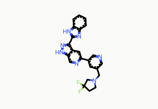 FC1(F)CCN(Cc2cncc(-c3cc4c(-c5nc6ccccc6[nH]5)n[nH]c4cn3)c2)C1